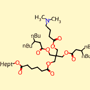 CCCCCCCOC(=O)CCCCC(=O)OCC(COC(=O)CCCN(C)C)(COC(=O)CC(CCCC)CCCC)COC(=O)CC(CCCC)CCCC